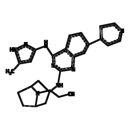 Cc1cc(Nc2nc(NC3CC4CCC(C3)N4CCC#N)nc3cc(-c4ccncc4)ccc23)n[nH]1